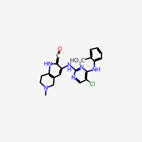 CN1CCC2=C(C=C(Nc3ncc(Cl)c(Nc4ccccc4C(=O)O)n3)C(=C=O)N2)C1